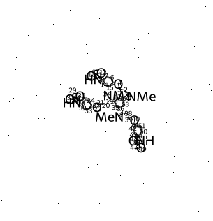 CNC(CCOc1ccc(NS(C)(=O)=O)cc1)c1cc(C(CCOc2ccc(NS(C)(=O)=O)cc2)NC)cc(C(CCOc2ccc(NS(C)(=O)=O)cc2)NC)c1